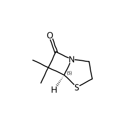 CC1(C)C(=O)N2CCS[C@H]21